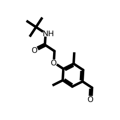 Cc1cc(C=O)cc(C)c1OCC(=O)NC(C)(C)C